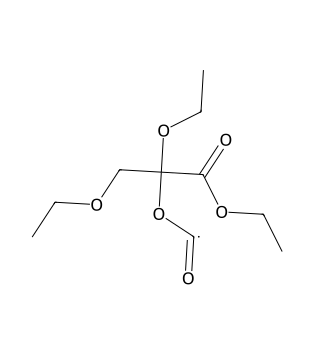 CCOCC(O[C]=O)(OCC)C(=O)OCC